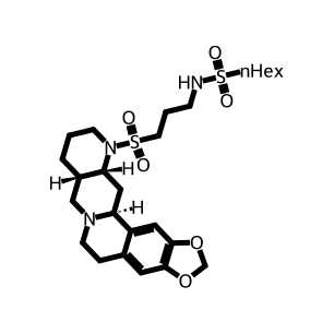 CCCCCCS(=O)(=O)NCCCS(=O)(=O)N1CCC[C@H]2CN3CCc4cc5c(cc4[C@@H]3C[C@H]21)OCO5